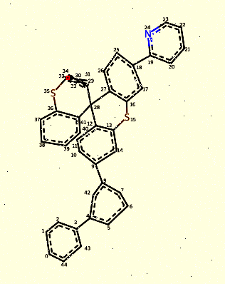 c1ccc(-c2cccc(-c3ccc4c(c3)Sc3cc(-c5ccccn5)ccc3C43c4ccccc4Sc4ccccc43)c2)cc1